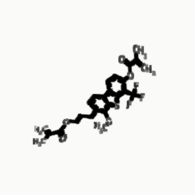 C=C(C)C(=O)OCCCc1ccc2c(sc3c(C(F)(F)F)c(OC(=O)C(=C)C)ccc32)c1OC